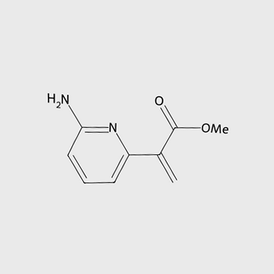 C=C(C(=O)OC)c1cccc(N)n1